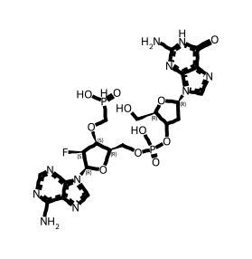 Nc1nc2c(ncn2[C@H]2CC(OP(=O)(O)OC[C@H]3O[C@@H](n4cnc5c(N)ncnc54)[C@@H](F)[C@H]3OC[PH](=O)O)[C@@H](CO)O2)c(=O)[nH]1